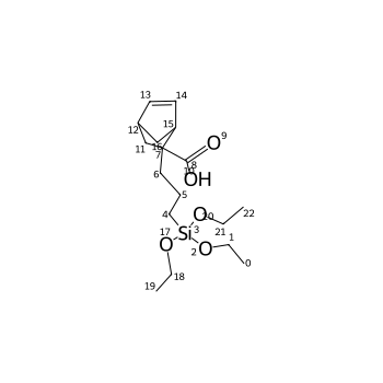 CCO[Si](CCCC1(C(=O)O)CC2C=CC1C2)(OCC)OCC